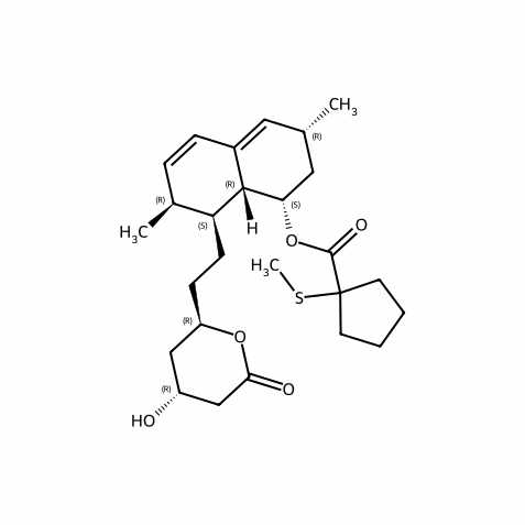 CSC1(C(=O)O[C@H]2C[C@@H](C)C=C3C=C[C@H](C)[C@H](CC[C@@H]4C[C@@H](O)CC(=O)O4)[C@H]32)CCCC1